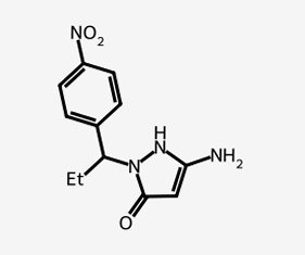 CCC(c1ccc([N+](=O)[O-])cc1)n1[nH]c(N)cc1=O